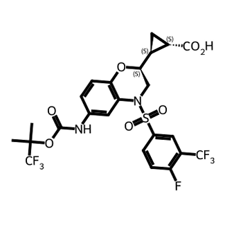 CC(C)(OC(=O)Nc1ccc2c(c1)N(S(=O)(=O)c1ccc(F)c(C(F)(F)F)c1)C[C@H]([C@H]1C[C@@H]1C(=O)O)O2)C(F)(F)F